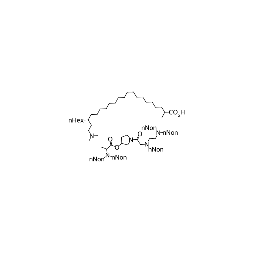 CCCCCCC(CCCCCCCC/C=C\CCCCCCC(C)C(=O)O)CCN(C)C.CCCCCCCCCN(CCCCCCCCC)CCN(CCCCCCCCC)CC(=O)N1CCC(OC(=O)C(C)N(CCCCCCCCC)CCCCCCCCC)C1